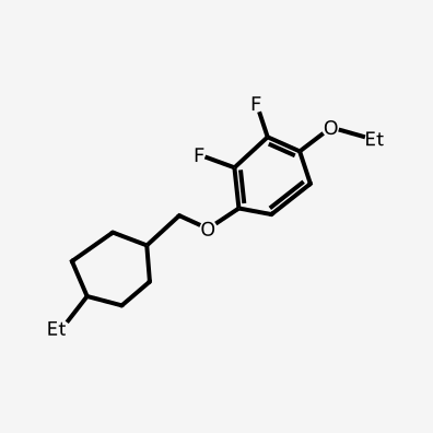 CCOc1ccc(OCC2CCC(CC)CC2)c(F)c1F